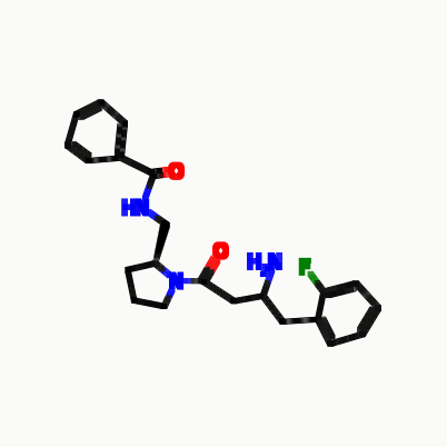 NC(CC(=O)N1CCC[C@H]1CNC(=O)c1ccccc1)Cc1ccccc1F